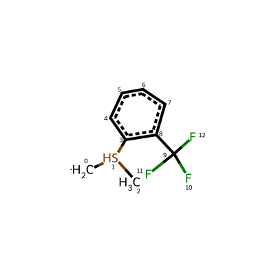 [CH2][SH](C)c1ccccc1C(F)(F)F